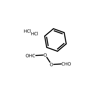 Cl.Cl.O=COOC=O.c1ccccc1